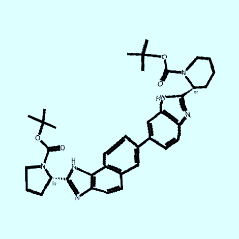 CC(C)(C)OC(=O)N1CCCC[C@H]1c1nc2ccc(-c3ccc4c(ccc5nc([C@@H]6CCCN6C(=O)OC(C)(C)C)[nH]c54)c3)cc2[nH]1